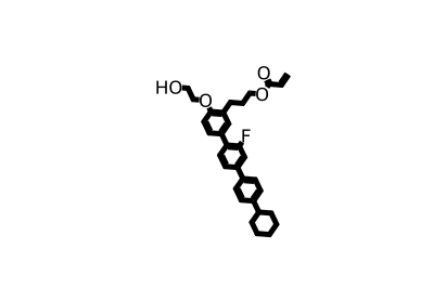 C=CC(=O)OCCCc1cc(-c2ccc(-c3ccc(C4CCCCC4)cc3)cc2F)ccc1OCCO